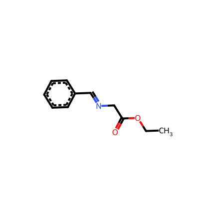 CCOC(=O)CN=Cc1ccccc1